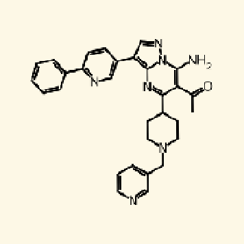 CC(=O)c1c(C2CCN(Cc3cccnc3)CC2)nc2c(-c3ccc(-c4ccccc4)nc3)cnn2c1N